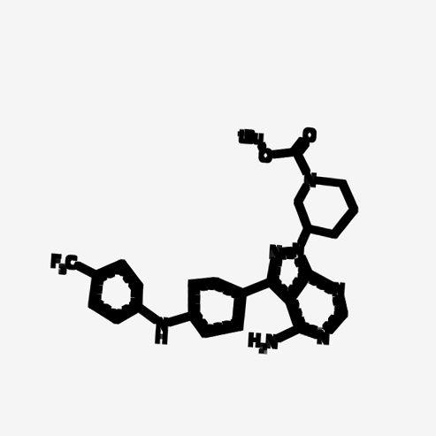 CC(C)(C)OC(=O)N1CCCC(n2nc(-c3ccc(Nc4ccc(C(F)(F)F)cc4)cc3)c3c(N)ncnc32)C1